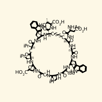 CC(=O)N[C@@H](CC(=O)O)C(=O)N[C@H]1CSSC[C@@H](C(=O)N[C@H](C(=O)O)[C@@H](C)O)NC(=O)[C@H](Cc2c[nH]c3ccccc23)NC(=O)[C@H](C(C)C)CC(=O)[C@H](CC(C)C)NC(=O)[C@H](CCC(=O)O)NC(=O)CNC(=O)[C@H](CC(C)C)NC(=O)[C@H](C(C)(C)C)NC(=O)[C@H](Cc2c[nH]c3ccccc23)NC(=O)[C@H](C)NC1=O